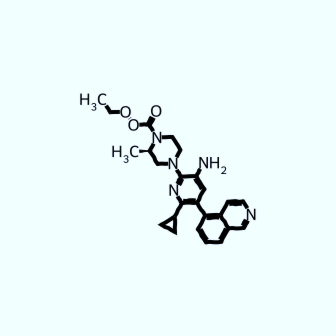 CCOOC(=O)N1CCN(c2nc(C3CC3)c(-c3cccc4cnccc34)cc2N)C[C@H]1C